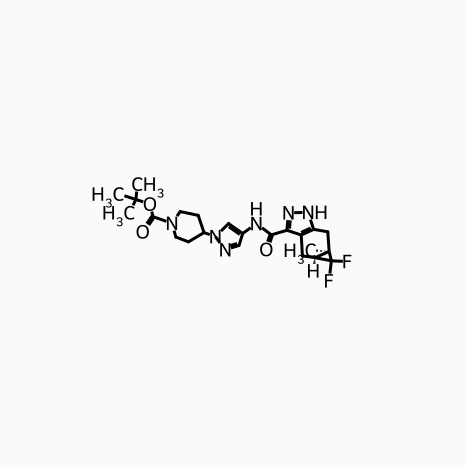 CC(C)(C)OC(=O)N1CCC(n2cc(NC(=O)c3n[nH]c4c3C[C@@H]3C(F)(F)[C@]3(C)C4)cn2)CC1